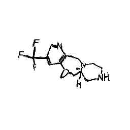 FC(F)(F)c1cnc2c(c1)OC[C@H]1CNCCN1C2